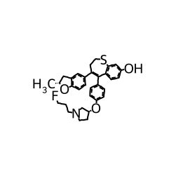 C[C@@H]1Cc2cc(C3=C(c4ccc(O[C@H]5CCN(CCCF)C5)cc4)c4ccc(O)cc4SCC3)ccc2O1